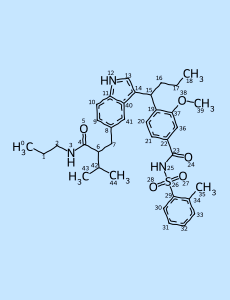 CCCNC(=O)C(Cc1ccc2[nH]cc(C(CCC)c3ccc(C(=O)NS(=O)(=O)c4ccccc4C)cc3OC)c2c1)C(C)C